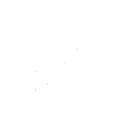 N=C(NO)c1ccc(S(N)(=O)=O)c(OC(F)(F)F)c1